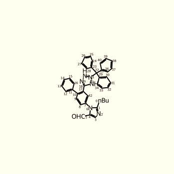 CCCCc1ncc(C=O)n1-c1ccc(-c2ccccc2)c(C2=NNN(C(c3ccccc3)(c3ccccc3)c3ccccc3)N2)c1